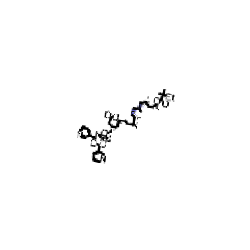 CCC(C)(C)C(=O)O[C@H](C)C[C@@H](C)/C=C(C)/C=C\[C@H](C)[C@@H](C)CC[C@H]1C[C@@H](COP2(=O)N=C(c3cccnc3)OC(c3cccnc3)O2)CC(=O)O1